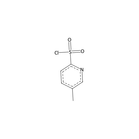 Cc1ccc(S(=O)(=O)Cl)nc1